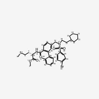 COC(=O)[C@H](CCSC)NC(=O)c1ccc(CN(CCC2CCCCC2)S(=O)(=O)c2ccc(Br)cc2)cc1-c1ccccc1C